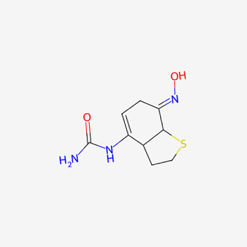 NC(=O)NC1=CCC(=NO)C2SCCC12